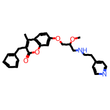 COC(CNCCc1ccncc1)COc1ccc2c(C)c(Cc3ccccc3)c(=O)oc2c1